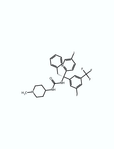 CN1CCC(NC(=O)N[C@](Cc2ccccc2)(c2cc(F)cc(C(F)(F)F)c2)c2ccc(I)cn2)CC1